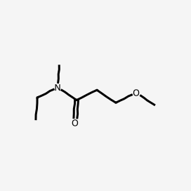 CCN(C)C(=O)CCOC